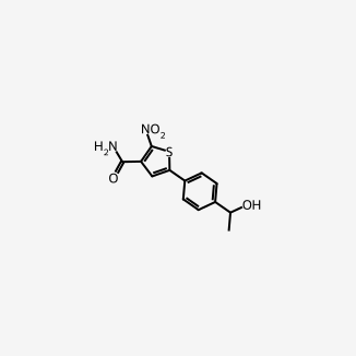 CC(O)c1ccc(-c2cc(C(N)=O)c([N+](=O)[O-])s2)cc1